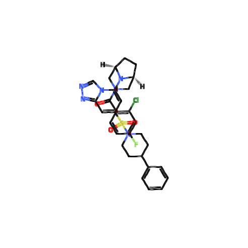 O=C(c1ccc(F)cc1Cl)N1C[C@H]2CC[C@@H](C1)N2c1cc(S(=O)(=O)N2CCC(c3ccccc3)CC2)cc2nncn12